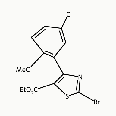 CCOC(=O)c1sc(Br)nc1-c1cc(Cl)ccc1OC